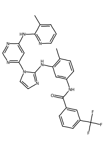 Cc1ccc(NC(=O)c2cccc(C(F)(F)F)c2)cc1Nc1nccn1-c1cc(Nc2ncccc2C)ncn1